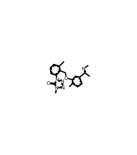 CN=C(C)c1ccc(C)c(OCc2c(C)cccc2-n2nnn(C)c2=O)c1